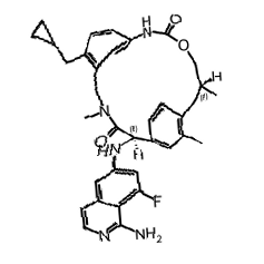 Cc1cc2ccc1[C@@H](C)COC(=O)Nc1ccc(CC3CC3)c(c1)CN(C)C(=O)[C@@H]2Nc1cc(F)c2c(N)nccc2c1